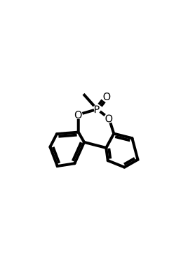 CP1(=O)Oc2ccccc2-c2ccccc2O1